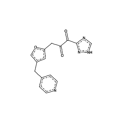 O=C(Cc1cc(Cc2ccncc2)co1)C(=O)c1nc[nH]n1